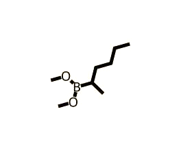 CCCCC(C)B(OC)OC